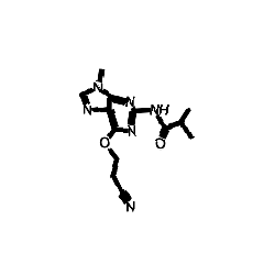 CC(C)C(=O)Nc1nc(OCCC#N)c2ncn(C)c2n1